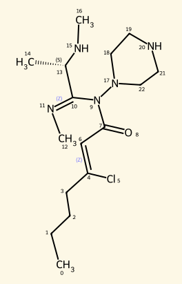 CCCC/C(Cl)=C/C(=O)N(/C(=N\C)[C@H](C)NC)N1CCNCC1